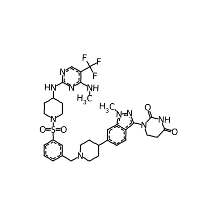 CNc1nc(NC2CCN(S(=O)(=O)c3cccc(CN4CCC(c5ccc6c(N7CCC(=O)NC7=O)nn(C)c6c5)CC4)c3)CC2)ncc1C(F)(F)F